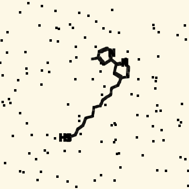 Cc1ccnc(-c2cc(CCCCCCCCCCCS)ccn2)c1